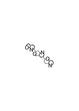 c1cnc2c(c1)OC(c1cnc3c(c1)COC(c1ccc4ccoc4n1)C3)CC2